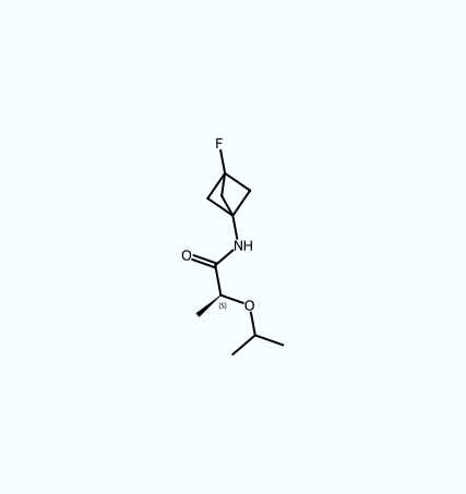 CC(C)O[C@@H](C)C(=O)NC12CC(F)(C1)C2